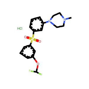 CN1CCN(c2cccc(S(=O)(=O)c3cccc(OC(F)F)c3)c2)CC1.Cl